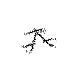 CCCCCCCC(=O)N(CCCN(C)C)C(CCCCCCCCCC(=O)C(CCCCCC)CCCCCC)CCCCCCCCOC(=O)C(CCCCCC)CCCCCC